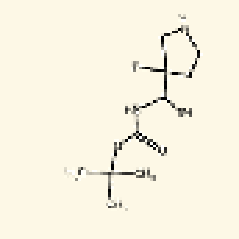 CC(C)(C)OC(=O)NC(S)C1(F)CCNC1